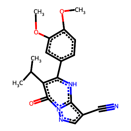 COc1ccc(-c2[nH]c3c(C#N)cnn3c(=O)c2C(C)C)cc1OC